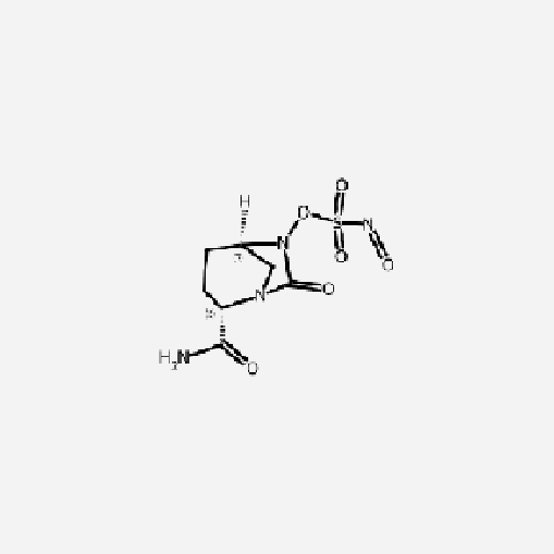 NC(=O)[C@@H]1CC[C@@H]2CN1C(=O)N2OS(=O)(=O)N=O